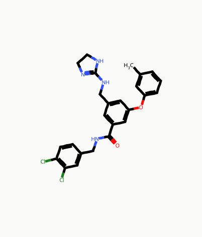 Cc1cccc(Oc2cc(CNC3=NCCN3)cc(C(=O)NCc3ccc(Cl)c(Cl)c3)c2)c1